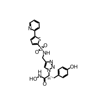 O=C(NO)[C@@H](Cc1ccc(O)cc1)n1cc(CNS(=O)(=O)c2ccc(-c3ccccn3)s2)nn1